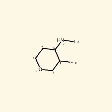 FC1COCCC1NI